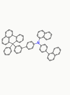 c1ccc(C2(c3cccc(-c4ccc(N(c5ccc(-c6cccc7ccccc67)cc5)c5cccc6ccccc56)cc4)c3)c3ccccc3-c3cccc4cccc2c34)cc1